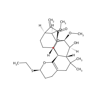 C=C1C(=O)[C@]23[C@H](OC)[C@H]1CC[C@H]2[C@@]12CO[C@@]3(OC)[C@@H](O)[C@@H]1C(C)(C)CC1=C2O[C@H](SCC)CC1